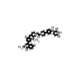 COc1cc(-c2cn(C)c(=O)c3ccc(F)cc23)cc(F)c1CC1CCN(CC(=O)N2CCC(c3ccc(NC4CCC(=O)NC4=O)cc3)CC2)CC1